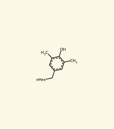 CCCCCCCc1cc(C)c(O)c(C)c1